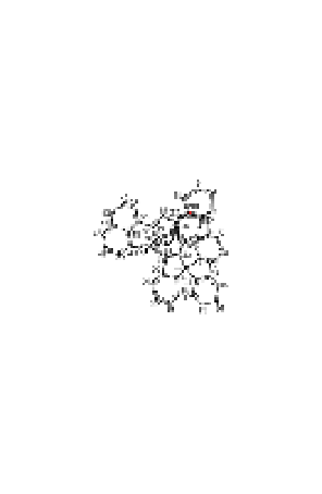 c1ccc(-c2ccc3c(c2)C2(c4ccccc4-3)c3ccccc3-c3ccc4ccccc4c32)c(-c2ccc3c(c2)-c2cccc4cccc(c24)S3)c1